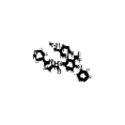 CNCC1CCCN(c2c(NC(=O)c3csc(-c4ccnnc4)n3)ccc(Oc3ccccc3)c2C(F)(F)F)C1